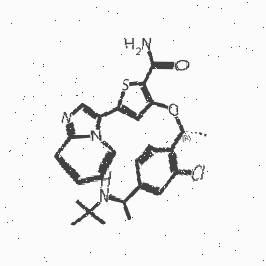 CC(NC(C)(C)C)c1ccc([C@@H](C)Oc2cc(-c3cnc4ccccn34)sc2C(N)=O)c(Cl)c1